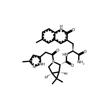 Cc1ccc2[nH]c(=O)c(C[C@H](NC(=O)[C@@H]3[C@@H]4[C@H](CN3C(=O)Cc3cc(C)n[nH]3)C4(C)C)C(N)=O)cc2c1